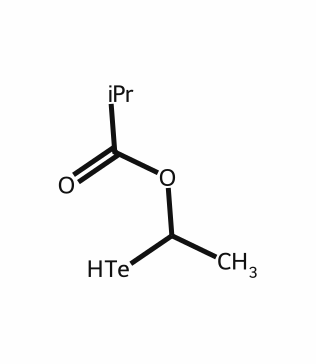 CC([TeH])OC(=O)C(C)C